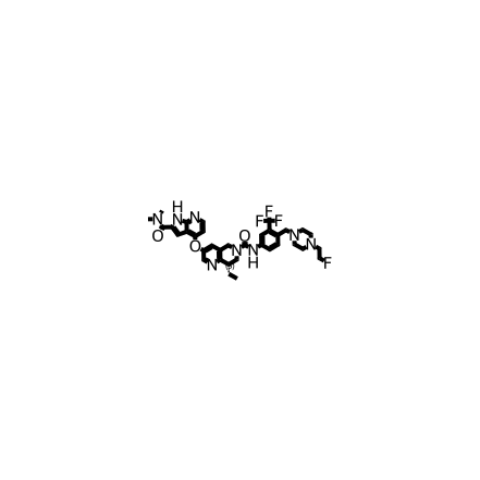 CC[C@H]1CN(C(=O)Nc2ccc(CN3CCN(CCF)CC3)c(C(F)(F)F)c2)Cc2cc(Oc3ccnc4[nH]c(C(=O)N(C)C)cc34)cnc21